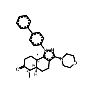 C[C@H]1C(=O)CC[C@@]2(C)c3c(c(N4CCOCC4)nn3-c3ccc(-c4ccccc4)cc3)CC[C@H]12